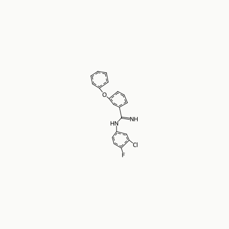 N=C(Nc1ccc(F)c(Cl)c1)c1cccc(Oc2ccccc2)c1